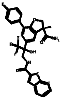 C[C@]1(C(N)=O)COc2c1cc(C(O)(CNC(=O)c1cc3cccnc3s1)C(F)(F)F)nc2-c1ccc(F)cc1